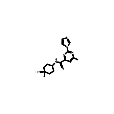 Cc1cc(C(=O)NC2CCC(C)(O)CC2)nc(-n2ccnc2)n1